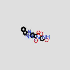 CN(c1ccc2c(c1)C(=O)N(C1CCC(=O)NC1=O)C2=O)[C@@H]1c2ccccc2C[C@H]1N